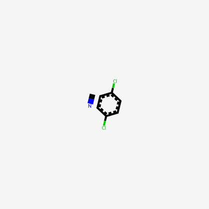 C#N.Clc1ccc(Cl)cc1